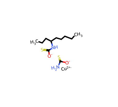 CCCCCC(CCC)NC([O-])=S.NC([O-])=S.[Cu+2]